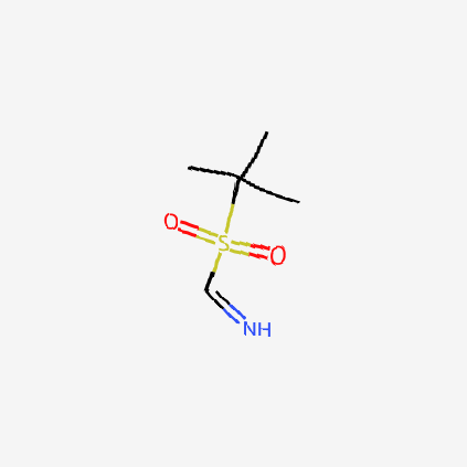 CC(C)(C)S(=O)(=O)C=N